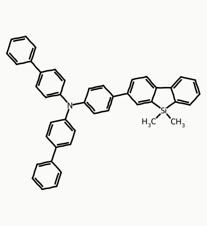 C[Si]1(C)c2ccccc2-c2ccc(-c3ccc(N(c4ccc(-c5ccccc5)cc4)c4ccc(-c5ccccc5)cc4)cc3)cc21